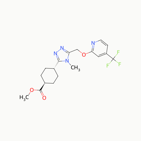 COC(=O)[C@H]1CC[C@H](c2nnc(COc3cc(C(F)(F)F)ccn3)n2C)CC1